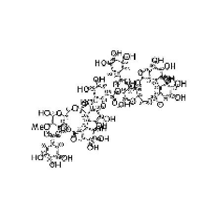 COC1C(O)OC2COC(=O)c3cc(Oc4c(C(=O)OC5C(O)OC6COC(=O)c7cc(O)c(O)c(O)c7-c7c(cc(O)c(O)c7O)C(=O)O[C@H]6[C@@H]5OC(=O)c5cc(O)c(O)c(O)c5)cc(O)c(O)c4O)c(O)c(O)c3-c3c(cc(O)c(O)c3O)C(=O)O[C@H]2[C@@H]1OC(=O)c1cc(O)c(O)c(O)c1